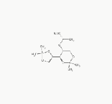 CO[C@H](C)OC1COC(C)(C)O[C@H]1[C@H]1COC(C)(C)O1